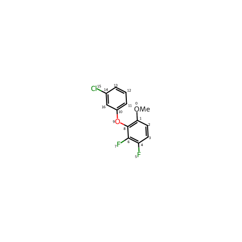 COc1ccc(F)c(F)c1Oc1cccc(Cl)c1